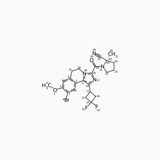 COc1cc2c(cc1Br)-c1c(C3CC(F)(F)C3)nc(C(=O)N3CCC[C@]3(C)C#N)n1CC2